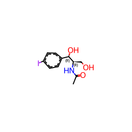 CC(=O)N[C@H](CO)[C@H](O)c1ccc(I)cc1